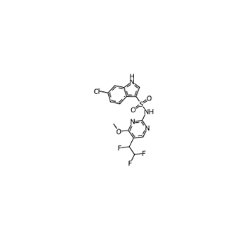 COc1nc(NS(=O)(=O)c2c[nH]c3cc(Cl)ccc23)ncc1C(F)C(F)F